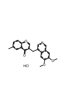 COc1cc2cncc(Cc3coc4ccc(C)cc4c3=O)c2cc1OC.Cl